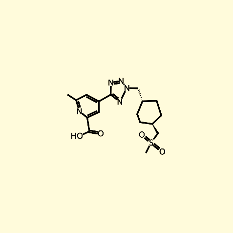 Cc1cc(-c2nnn(C[C@H]3CC[C@H](CS(C)(=O)=O)CC3)n2)cc(C(=O)O)n1